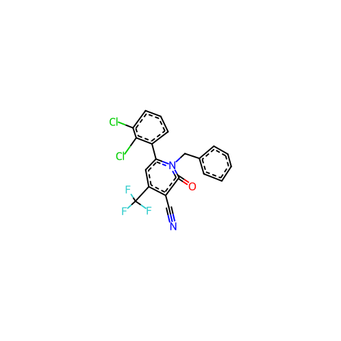 N#Cc1c(C(F)(F)F)cc(-c2cccc(Cl)c2Cl)n(Cc2ccccc2)c1=O